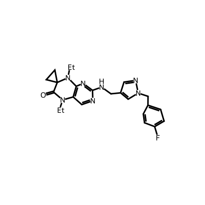 CCN1C(=O)C2(CC2)N(CC)c2nc(NCc3cnn(Cc4ccc(F)cc4)c3)ncc21